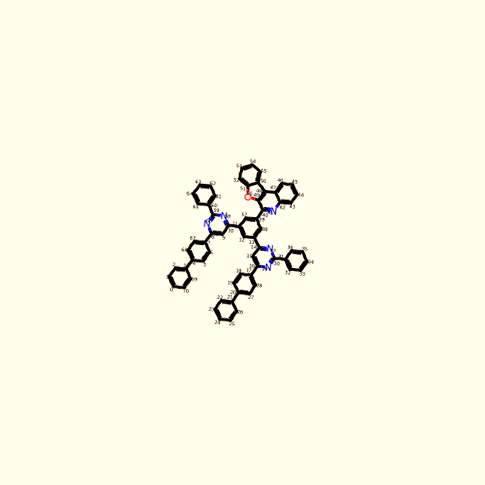 c1ccc(-c2ccc(-c3cc(-c4cc(-c5cc(-c6ccc(-c7ccccc7)cc6)nc(-c6ccccc6)n5)cc(-c5nc6ccccc6c6c5oc5ccccc56)c4)nc(-c4ccccc4)n3)cc2)cc1